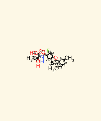 CC1CC2CC(C)CC(COc3cc(F)c(C(=O)N[C@H](C(=O)O)[C@@H](C)O)cc3C3CC3)(C1)C2